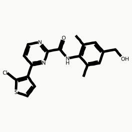 Cc1cc(CO)cc(C)c1NC(=O)c1nccc(-c2ccsc2Cl)n1